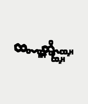 CCCc1c(OCCCOc2ccc3ccccc3c2)ccc2c1OC(CCC(=O)O)(CCC(=O)O)CC2=O